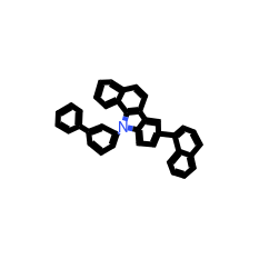 c1ccc(-c2cccc(-n3c4ccc(-c5cccc6ccccc56)cc4c4ccc5ccccc5c43)c2)cc1